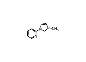 CN1C=CN(c2ccccn2)C1